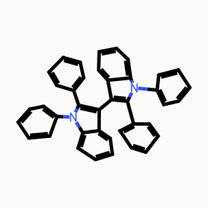 c1ccc(-c2c(-c3c(-c4ccccc4)n(-c4ccccc4)c4ccccc34)c3ccccc3n2-c2ccccc2)cc1